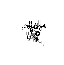 CCONC(=O)c1cnc(NC(=O)C2CC2)cc1Nc1cccc2c1N(C)[C@@H](C)c1nc(C)nn1-2